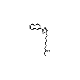 CCC(=O)CCCCC[CH]c1noc(-c2ccc3ccccc3c2)n1